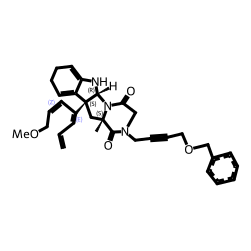 C=C/C=C(\C=C/COC)[C@]12C[C@@]3(C)C(=O)N(CC#CCOCc4ccccc4)CC(=O)N3[C@H]1NC1=CCCC=C12